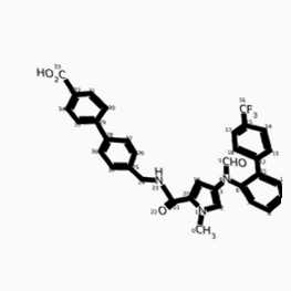 Cn1cc(N(C=O)c2ccccc2-c2ccc(C(F)(F)F)cc2)cc1C(=O)NCc1ccc(-c2ccc(C(=O)O)cc2)cc1